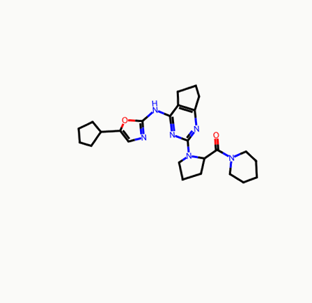 O=C(C1CCCN1c1nc2c(c(Nc3ncc(C4CCCC4)o3)n1)CCC2)N1CCCCC1